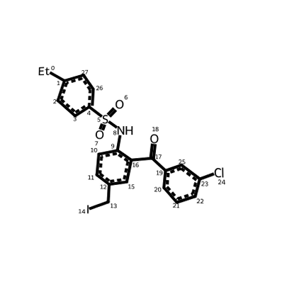 CCc1ccc(S(=O)(=O)Nc2ccc(CI)cc2C(=O)c2cccc(Cl)c2)cc1